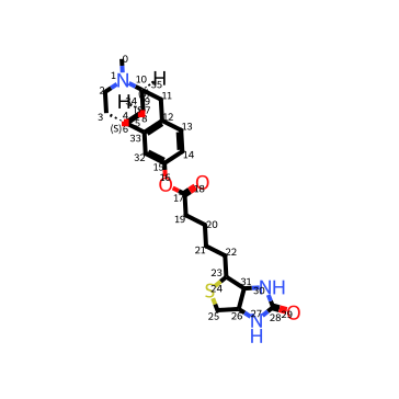 CN1CC[C@@]23CCCC[C@@H]2[C@@H]1Cc1ccc(OC(=O)CCCCC2SCC4NC(=O)NC42)cc13